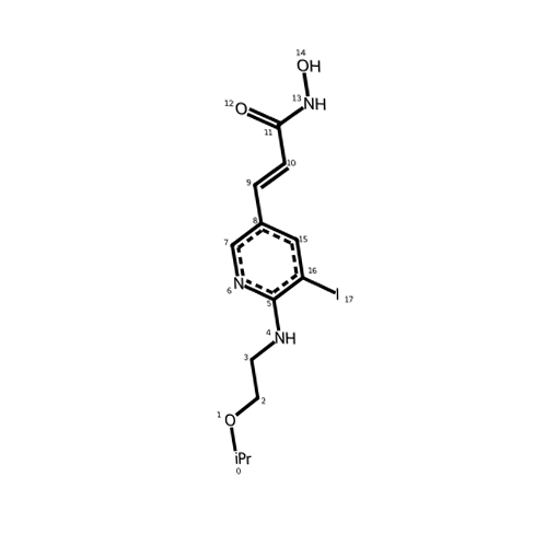 CC(C)OCCNc1ncc(/C=C/C(=O)NO)cc1I